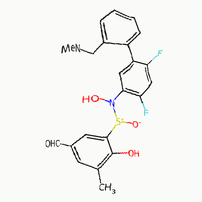 CNCc1ccccc1-c1cc(N(O)[S+]([O-])c2cc(C=O)cc(C)c2O)c(F)cc1F